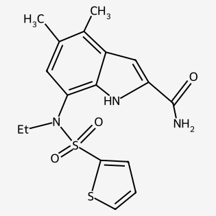 CCN(c1cc(C)c(C)c2cc(C(N)=O)[nH]c12)S(=O)(=O)c1cccs1